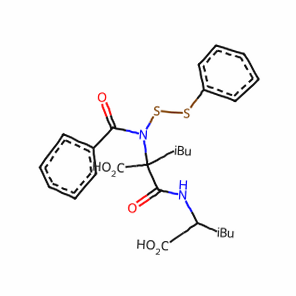 CCC(C)C(NC(=O)C(C(=O)O)(C(C)CC)N(SSc1ccccc1)C(=O)c1ccccc1)C(=O)O